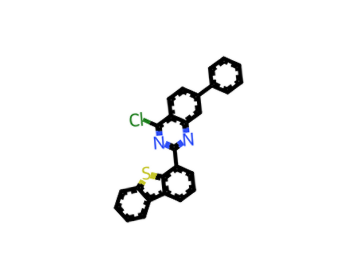 Clc1nc(-c2cccc3c2sc2ccccc23)nc2cc(-c3ccccc3)ccc12